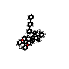 c1ccc(-c2ccc(-c3ccc(N(c4ccc5c(c4)C4(c6ccccc6Oc6ccccc64)c4ccccc4-5)c4cccc5c4-c4c(ccc6ccccc46)C54c5ccccc5Oc5ccccc54)cc3)cc2)cc1